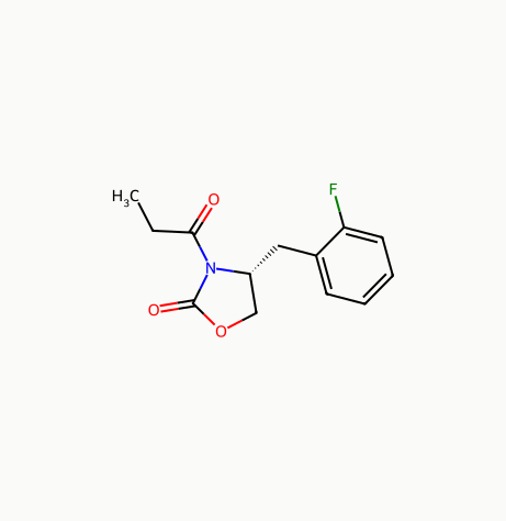 CCC(=O)N1C(=O)OC[C@H]1Cc1ccccc1F